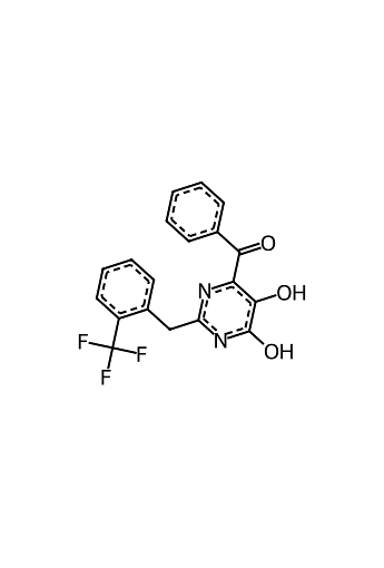 O=C(c1ccccc1)c1nc(Cc2ccccc2C(F)(F)F)nc(O)c1O